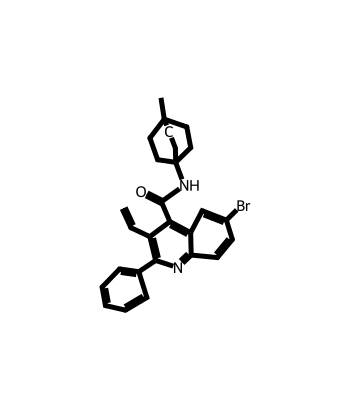 C=Cc1c(-c2ccccc2)nc2ccc(Br)cc2c1C(=O)NC12CCC(C)(CC1)CC2